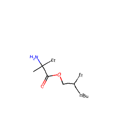 CCCCC(CC)COC(=O)C(C)(N)CC